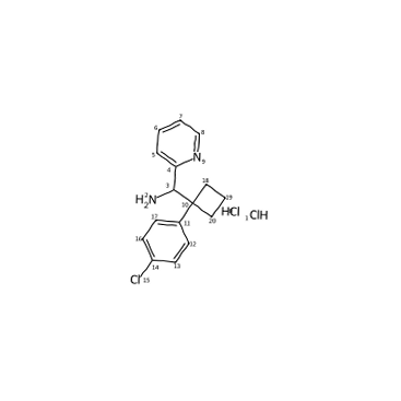 Cl.Cl.NC(c1ccccn1)C1(c2ccc(Cl)cc2)CCC1